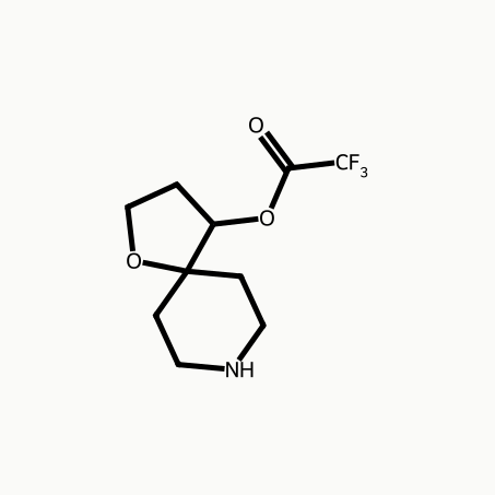 O=C(OC1CCOC12CCNCC2)C(F)(F)F